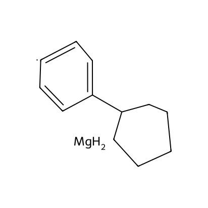 [MgH2].[c]1ccc(C2CCCCC2)cc1